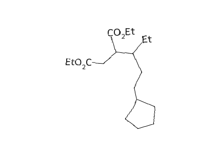 CCOC(=O)CC(C(=O)OCC)C(CC)CCC1CCCC1